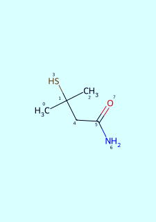 CC(C)(S)CC(N)=O